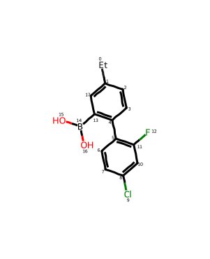 CCc1ccc(-c2ccc(Cl)cc2F)c(B(O)O)c1